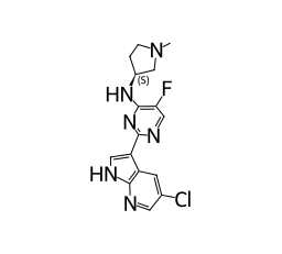 CN1CC[C@H](Nc2nc(-c3c[nH]c4ncc(Cl)cc34)ncc2F)C1